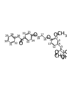 COc1cc(CC(OC)C(=O)O)ccc1OCCCOc1ccc(C(=O)Cc2ccccc2)cc1